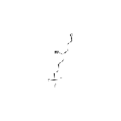 OC(CCCCl)CCCCC(F)(F)F